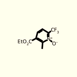 CCOC(=O)c1ccc(C(F)(F)F)[n+]([O-])c1C